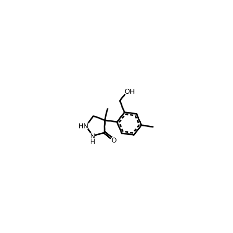 Cc1ccc(C2(C)CNNC2=O)c(CO)c1